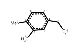 CNc1ccc(CO)cc1C